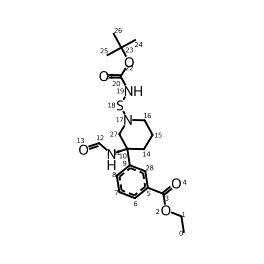 CCOC(=O)c1cccc(C2(NC=O)CCCN(SNC(=O)OC(C)(C)C)C2)c1